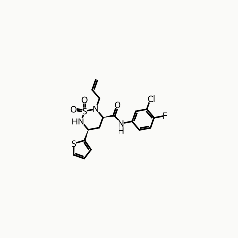 C=CCN1[C@@H](C(=O)Nc2ccc(F)c(Cl)c2)C[C@@H](c2cccs2)NS1(=O)=O